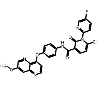 COc1cnc2c(Oc3ccc(NC(=O)c4ccc(C)n(-c5ccc(F)cn5)c4=O)cc3)ccnc2c1